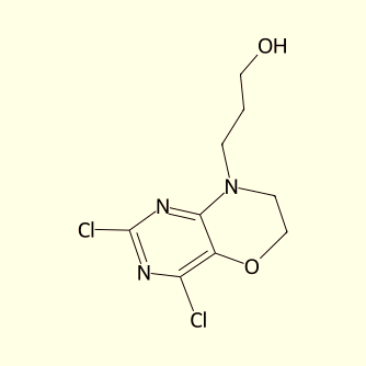 OCCCN1CCOc2c(Cl)nc(Cl)nc21